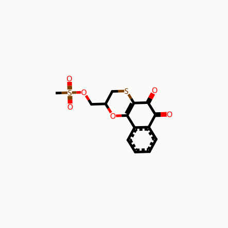 CS(=O)(=O)OCC1CSC2=C(O1)c1ccccc1C(=O)C2=O